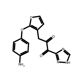 Nc1ccc(Oc2occc2CC(=O)C(=O)c2nc[nH]n2)cc1